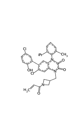 C=CC(=O)N1CC(Cn2c(=O)c(=O)n(-c3c(C)cccc3C(C)C)c3cc(-c4cc(Cl)ccc4O)c(Cl)cc32)C1